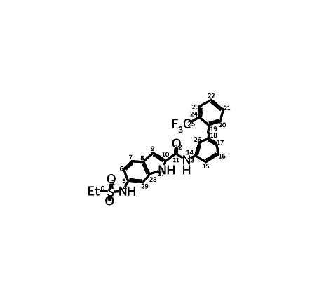 CCS(=O)(=O)Nc1ccc2cc(C(=O)Nc3cccc(-c4ccccc4C(F)(F)F)c3)[nH]c2c1